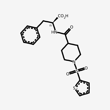 O=C(N[C@@H](Cc1ccccc1)C(=O)O)C1CCN(S(=O)(=O)c2cccs2)CC1